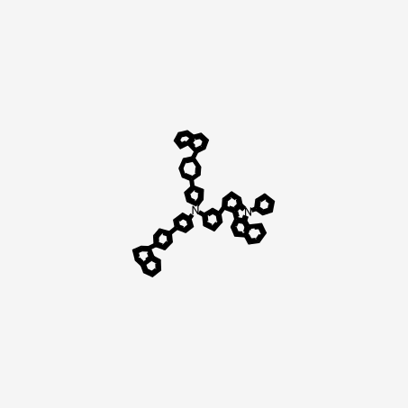 C1=CC(c2cccc3ccccc23)=CCC=C1c1ccc(N(c2ccc(-c3ccc(-c4cccc5ccccc45)cc3)cc2)c2cccc(-c3cccc4c3c3ccc5ccccc5c3n4-c3ccccc3)c2)cc1